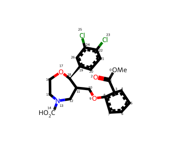 COC(=O)c1ccccc1OCC1CN(C(=O)O)CCO[C@H]1c1ccc(Cl)c(Cl)c1